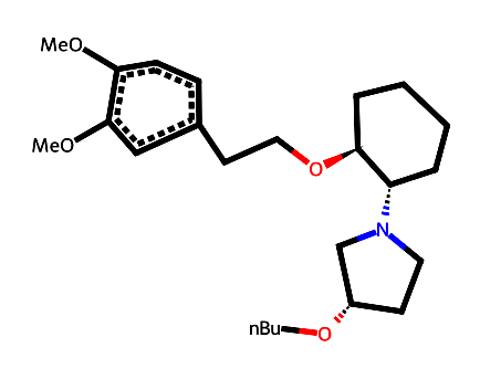 CCCCO[C@H]1CCN([C@H]2CCCC[C@@H]2OCCc2ccc(OC)c(OC)c2)C1